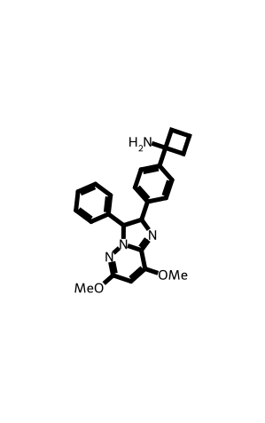 COC1=CC(OC)=NN2C1=NC(c1ccc(C3(N)CCC3)cc1)C2c1ccccc1